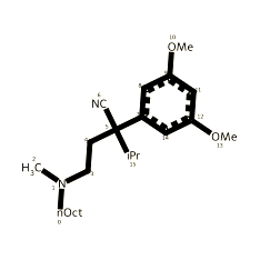 CCCCCCCCN(C)CCC(C#N)(c1cc(OC)cc(OC)c1)C(C)C